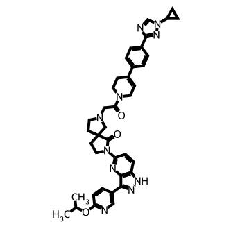 CC(C)Oc1ccc(-c2n[nH]c3ccc(N4CCC5(CCN(CC(=O)N6CC=C(c7ccc(-c8ncn(C9CC9)n8)cc7)CC6)C5)C4=O)nc23)cn1